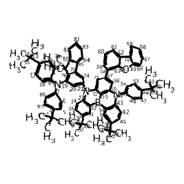 CC(C)(C)c1ccc(N(c2ccc(C(C)(C)C)cc2)c2cc(N3c4ccc(C(C)(C)C)cc4B4c5cc(C(C)(C)C)ccc5N(c5ccc(C(C)(C)C)cc5)c5cc(-c6cccc7c6oc6ccccc67)cc3c54)cc3c2C(C)(C)c2ccccc2-3)cc1